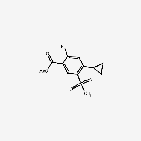 CCc1cc(C2CC2)c(S(C)(=O)=O)cc1C(=O)OC